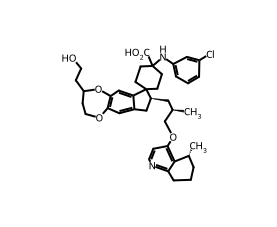 C[C@@H](COc1ccnc2c1[C@H](C)CCC2)C[C@H]1Cc2cc3c(cc2C12CCC(Nc1cccc(Cl)c1)(C(=O)O)CC2)OC(CCO)CCO3